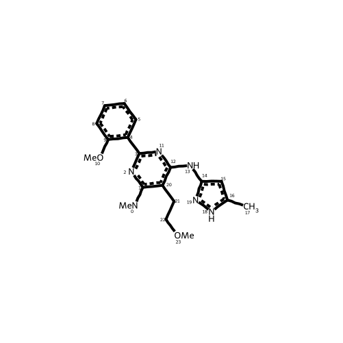 CNc1nc(-c2ccccc2OC)nc(Nc2cc(C)[nH]n2)c1CCOC